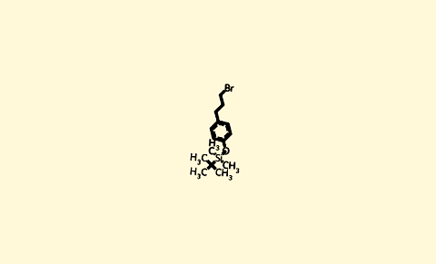 CC(C)(C)[Si](C)(C)Oc1ccc(CCCBr)cc1